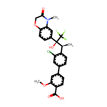 COc1cc(-c2ccc([C@H](C)[C@](O)(c3ccc4c(c3)N(C)C(=O)CO4)C(F)(F)F)c(Cl)c2)ccc1C(=O)O